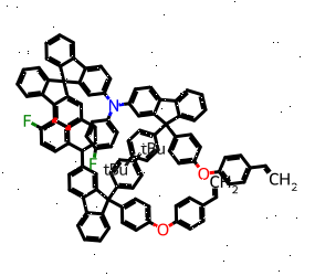 C=Cc1ccc(Oc2ccc(C3(c4ccc(C(C)(C)C)cc4)c4ccccc4-c4ccc(C(CCc5ccc6c(c5)C5(c7ccccc7-6)c6ccccc6-c6ccc(N(c7ccc(F)cc7)c7ccc8c(c7)C(c7ccc(Oc9ccc(C=C)cc9)cc7)(c7ccc(C(C)(C)C)cc7)c7ccccc7-8)cc65)c5ccc(F)cc5)cc43)cc2)cc1